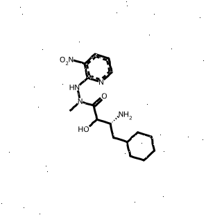 CN(Nc1ncccc1[N+](=O)[O-])C(=O)C(O)[C@H](N)CC1CCCCC1